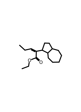 CCC=C(C(=O)OCC)C1CCC2CCCCCC21